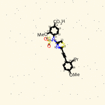 COc1ccc(C#Cc2nc(N(c3ccc(C(=O)O)cc3OC)[SH](=O)=O)cs2)c(C(C)C)c1